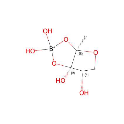 C[C@]12OC[C@H](O)[C@@]1(O)O[B-](O)(O)O2